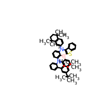 CC(C)(C)c1cc(-c2ccccc2N2c3ccccc3B3c4sc5ccccc5c4N(c4ccc5c(c4)C(C)(C)CCC5(C)C)c4cccc2c43)cc(C(C)(C)C)c1